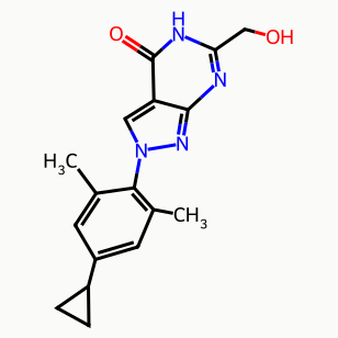 Cc1cc(C2CC2)cc(C)c1-n1cc2c(=O)[nH]c(CO)nc2n1